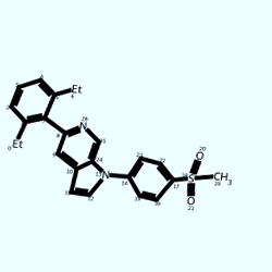 CCc1cccc(CC)c1-c1cc2ccn(-c3ccc(S(C)(=O)=O)cc3)c2cn1